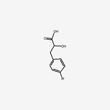 O=C(O)C(O)Cc1ccc(Br)cc1